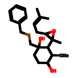 COC1C(O)CCC(O)(CSCc2ccccc2)C1C1(C)OC1CC=C(C)C